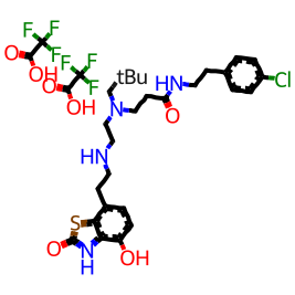 CC(C)(C)CN(CCNCCc1ccc(O)c2[nH]c(=O)sc12)CCC(=O)NCCc1ccc(Cl)cc1.O=C(O)C(F)(F)F.O=C(O)C(F)(F)F